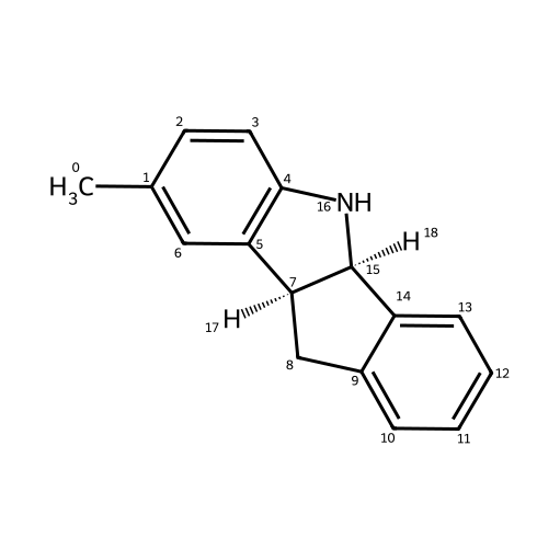 Cc1ccc2c(c1)[C@@H]1Cc3ccccc3[C@@H]1N2